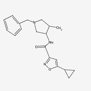 CC1CN(Cc2ccccc2)CC1NC(=O)c1cc(C2CC2)on1